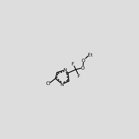 CCOOC(F)(F)c1cnc(Cl)cn1